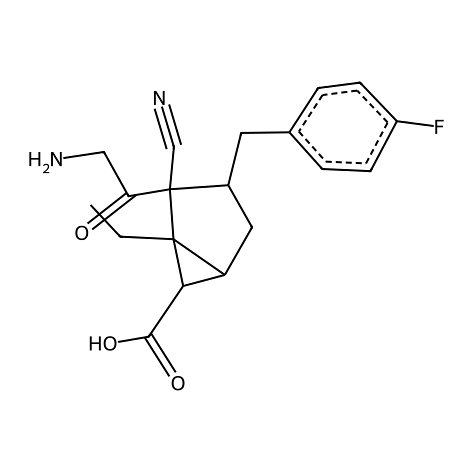 CCC12C(CC(Cc3ccc(F)cc3)C1(C#N)C(=O)CN)C2C(=O)O